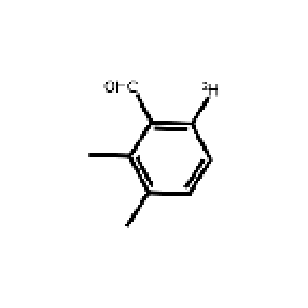 [2H]c1ccc(C)c(C)c1C=O